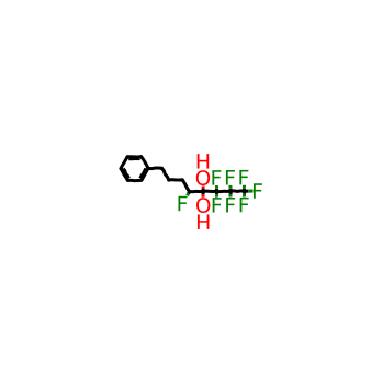 OC(O)(C(F)CCCc1ccccc1)C(F)(F)C(F)(F)C(F)(F)F